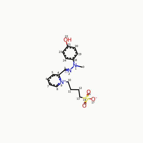 CN(/N=C/c1cccc[n+]1CCCCS(=O)(=O)[O-])c1ccc(O)cc1